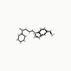 CN(CCCn1nnc2cc(C=O)ccc21)C1CC[CH]CC1